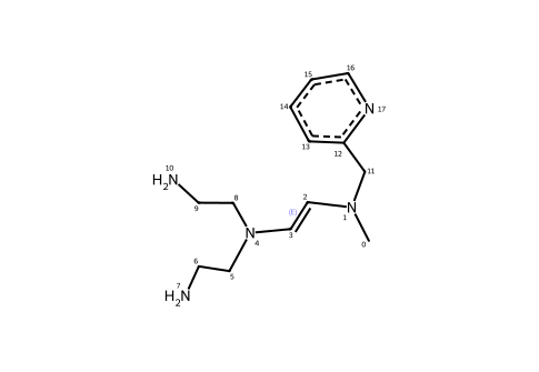 CN(/C=C/N(CCN)CCN)Cc1ccccn1